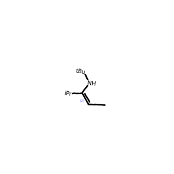 C/C=C(\NC(C)(C)C)C(C)C